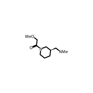 CNC[C@H]1CCCN(C(=O)COC)C1